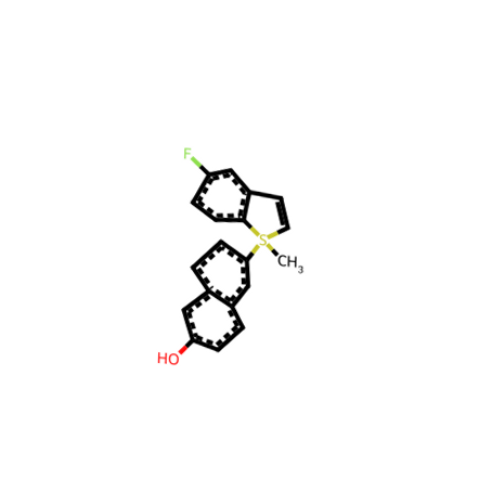 CS1(c2ccc3cc(O)ccc3c2)C=Cc2cc(F)ccc21